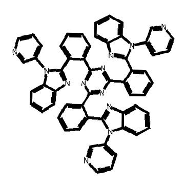 c1cncc(-n2c(-c3ccccc3-c3nc(-c4ccccc4-c4nc5ccccc5n4-c4cccnc4)nc(-c4ccccc4-c4nc5ccccc5n4-c4cccnc4)n3)nc3ccccc32)c1